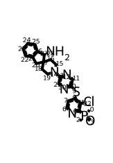 CP(C)(=O)c1nccc(Sc2cnc(N3CCC4(CC3)Cc3ccccc3[C@H]4N)cn2)c1Cl